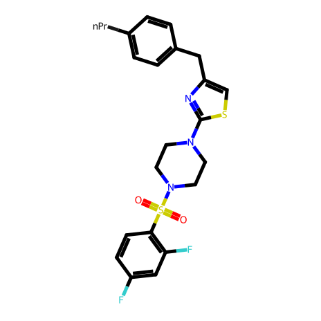 CCCc1ccc(Cc2csc(N3CCN(S(=O)(=O)c4ccc(F)cc4F)CC3)n2)cc1